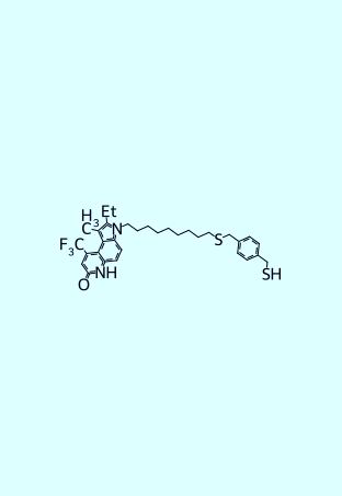 CCc1c(C)c2c3c(C(F)(F)F)cc(=O)[nH]c3ccc2n1CCCCCCCCCSCc1ccc(CS)cc1